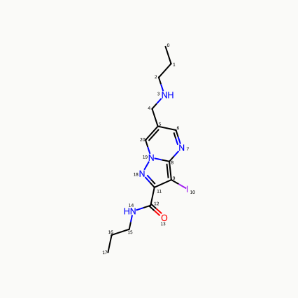 CCCNCc1cnc2c(I)c(C(=O)NCCC)nn2c1